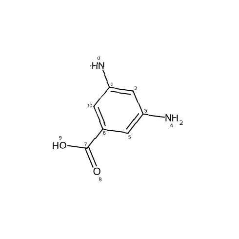 [NH]c1cc(N)cc(C(=O)O)c1